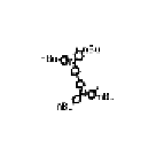 CCCCc1ccc(N(c2ccc(-c3ccc(N(c4ccc(CCCC)cc4)c4ccc(CCCC)c(C)c4)cc3)cc2)c2ccc(CCCC)c(C)c2)cc1